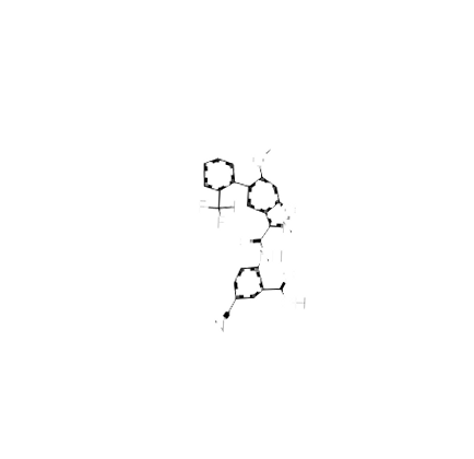 COc1cc2onc(C(=O)Nc3ccc(C#N)cc3C(=O)O)c2cc1-c1ccccc1C(F)(F)F